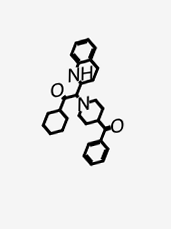 O=C(c1ccccc1)C1CCN(C(C(=O)C2CCCCC2)C2CCc3ccccc3N2)CC1